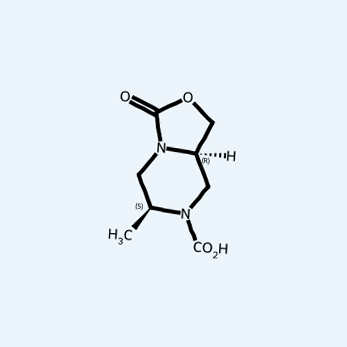 C[C@H]1CN2C(=O)OC[C@H]2CN1C(=O)O